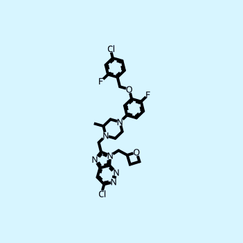 CC1CN(c2ccc(F)c(OCc3ccc(Cl)cc3F)c2)CCN1Cc1nc2cc(Cl)nnc2n1CC1CCO1